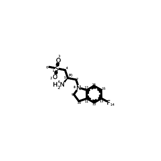 CS(=O)(=O)C[C@H](N)CN1CCc2cc(F)ccc21